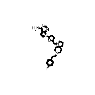 Nc1ncnc2c1ccn2C1CCC(CN2CCCC23CCN(CCc2ccc(F)cc2)CC3)O1